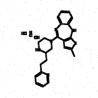 Cc1cc2c(s1)Nc1ccccc1N=C2N1CCNC(CCc2ccccn2)C1.Cl.Cl.Cl